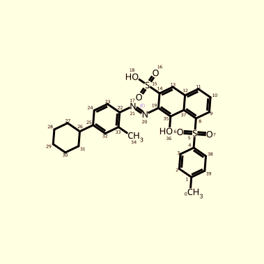 Cc1ccc(S(=O)(=O)c2cccc3cc(S(=O)(=O)O)c(/N=N/c4ccc(C5CCCCC5)cc4C)c(O)c23)cc1